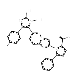 Cc1nc(-c2ccc(F)cc2)c(-c2ccc3nc(-n4c(C(N)=O)ccc4-c4ccccc4)cn3n2)n1C